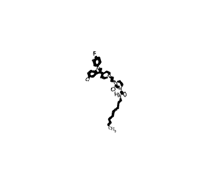 CCCCCCCCCNC(=O)N1CCN(CCN2CCC(c3cn(-c4ccc(F)cc4)c4ccc(Cl)cc34)CC2)C1=O